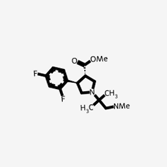 CNCC(C)(C)N1C[C@@H](C(=O)OC)[C@H](c2ccc(F)cc2F)C1